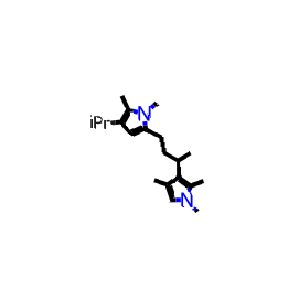 Cc1cn(C)c(C)c1C(C)CCc1cc(C(C)C)c(C)n1C